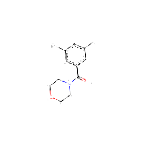 Cc1cc(C(=O)N2CCOCC2)cc(C(C)C)c1